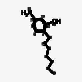 CCCCCSCc1ccc(N)cc1O